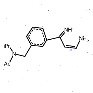 CC(=O)N(Cc1cccc(C(=N)/C=C\N)c1)C(C)C